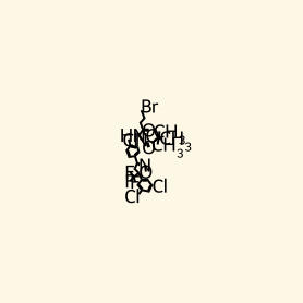 CC(C)(C)OC(=O)N(NC(=O)CCCBr)c1cc(C2=NOC(c3cc(Cl)cc(Cl)c3)(C(F)(F)F)C2)ccc1Cl